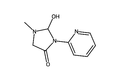 CN1CC(=O)N(c2ccccn2)C1O